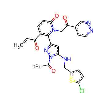 C=CC(=O)c1ccc(=O)n(CC(=O)c2ccnnc2)c1-c1cc(NCc2ccc(Cl)s2)n(C(=O)C(C)(C)C)n1